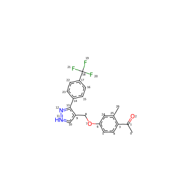 CC(=O)c1ccc(OCc2c[nH]nc2-c2ccc(C(F)(F)F)cc2)cc1C